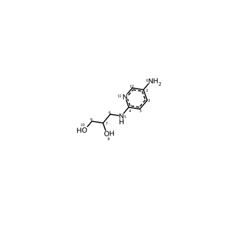 Nc1ccc(NCC(O)CO)nc1